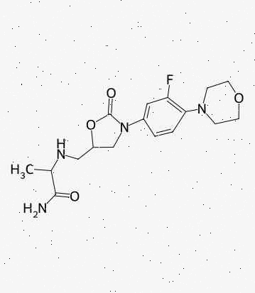 CC(NCC1CN(c2ccc(N3CCOCC3)c(F)c2)C(=O)O1)C(N)=O